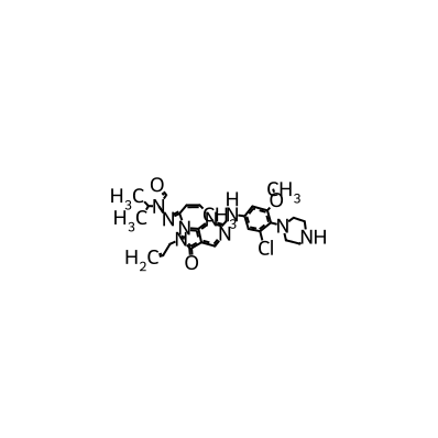 C=CCn1c(=O)c2cnc(Nc3cc(Cl)c(N4CCNCC4)c(OC)c3)nc2n1C(/C=C\C)=N/N(C=O)C(C)C